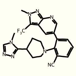 Cn1cnnc1C1CCN(c2c(C#N)cccc2-c2cnc3nn(C)c(C(F)(F)F)c3c2)CC1